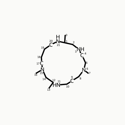 CC1CNCCN(C)CCCNC(C)CN(C)CCCCN1